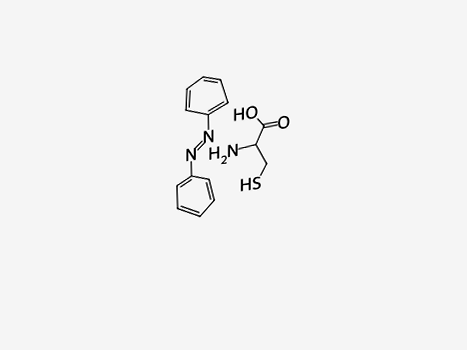 NC(CS)C(=O)O.c1ccc(N=Nc2ccccc2)cc1